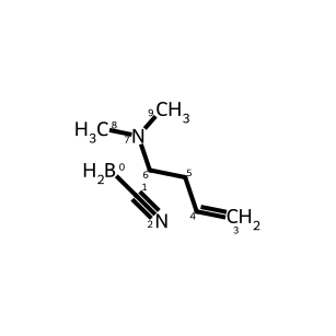 BC#N.C=CCCN(C)C